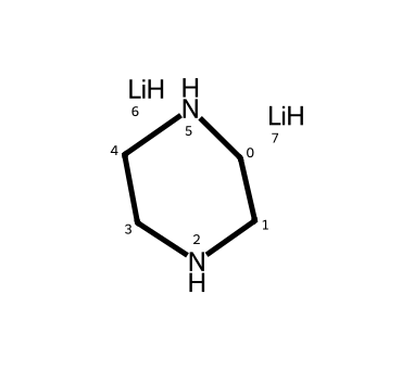 C1CNCCN1.[LiH].[LiH]